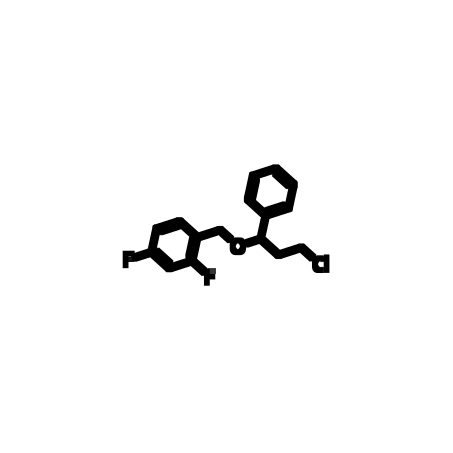 Fc1ccc(COC(CCCl)c2ccccc2)c(F)c1